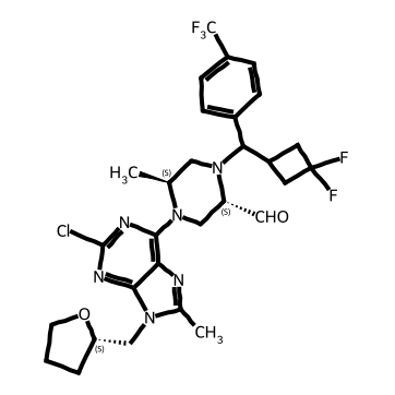 Cc1nc2c(N3C[C@@H](C=O)N(C(c4ccc(C(F)(F)F)cc4)C4CC(F)(F)C4)C[C@@H]3C)nc(Cl)nc2n1C[C@@H]1CCCO1